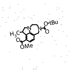 COC(=O)c1ccc2c3c1C(C)CN3CCN(C(=O)OC(C)(C)C)C2